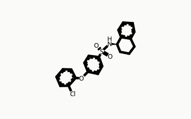 O=S(=O)(N[C@@H]1CCCc2ccccc21)c1ccc(Oc2ccccc2Cl)cc1